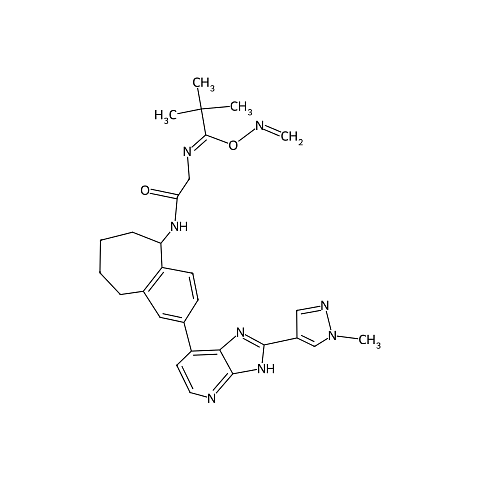 C=NO/C(=N\CC(=O)NC1CCCCc2cc(-c3ccnc4[nH]c(-c5cnn(C)c5)nc34)ccc21)C(C)(C)C